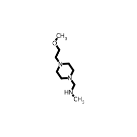 CNCN1CCN(CCOC)CC1